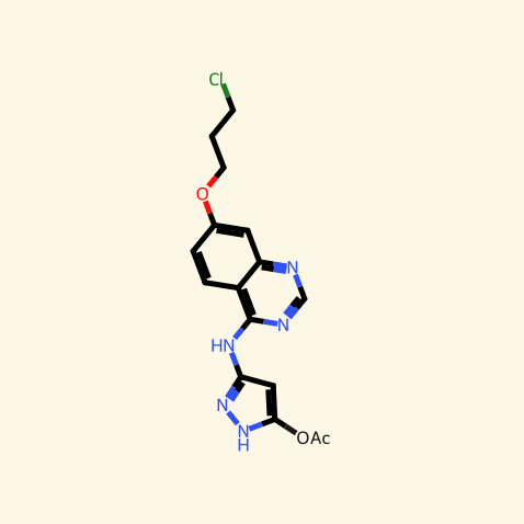 CC(=O)Oc1cc(Nc2ncnc3cc(OCCCCl)ccc23)n[nH]1